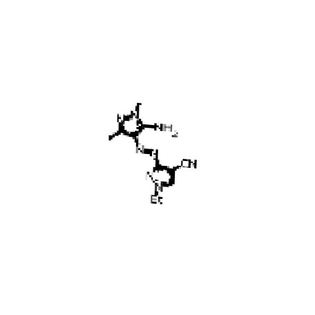 CCn1cc(C#N)c(N=Nc2c(C)nn(C)c2N)n1